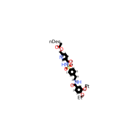 CCCCCCCCCCCC(=O)OCc1ccc(C(=O)NS(=O)(=O)c2ccc(CCNC(=O)c3ccc(OCC)c(OCC)c3)cc2)cn1